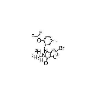 [2H]C([2H])([2H])n1c(=O)c2ccc(Br)cc2n1Cc1cc(C)ccc1OC(F)F